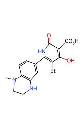 CCc1c(-c2ccc3c(c2)NCCN3C)[nH]c(=O)c(C(=O)O)c1O